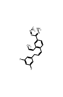 C/C=C\c1cc(C(/N=N\C)=N/N)ccc1/C=C\Cc1cc(F)cc(F)c1